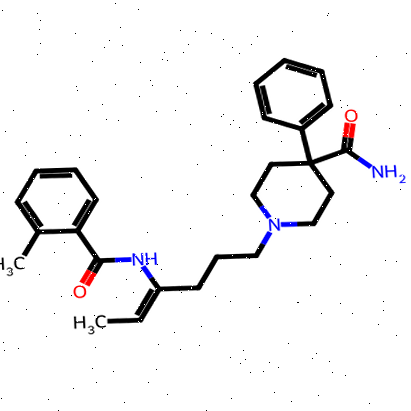 CC=C(CCCN1CCC(C(N)=O)(c2ccccc2)CC1)NC(=O)c1ccccc1C